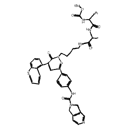 CC(NC(=O)C(NC(=O)OC(C)(C)C)C(C)C)C(=O)NCCCCN1N=C(c2ccc(NC(=O)N3Cc4ccncc4C3)cc2)CC(c2cccc3ncccc23)C1=O